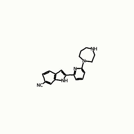 N#Cc1ccc2cc(-c3cccc(N4CCCNCC4)n3)[nH]c2c1